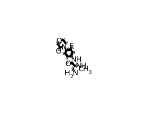 CN[C@@H](CN)C(=O)Nc1ccc(N2CCOCC2=O)c(F)c1